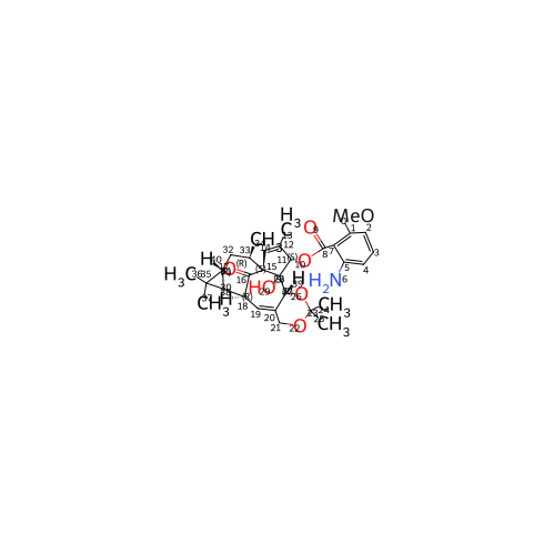 COc1cccc(N)c1C(=O)O[C@H]1C(C)=C[C@]23C(=O)[C@@H](C=C4COC(C)(C)O[C@H]4[C@]12O)C1[C@@H](C[C@H]3C)C1(C)C